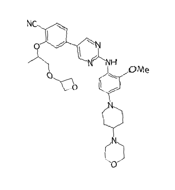 COc1cc(N2CCC(N3CCOCC3)CC2)ccc1Nc1ncc(-c2ccc(C#N)c(OC(C)COC3COC3)c2)cn1